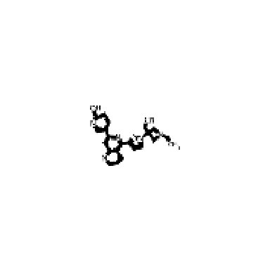 N#CCC1(n2ccc(-c3nc(-c4ccc(O)nc4)cc4ncccc34)n2)CN(CC(F)(F)F)C1